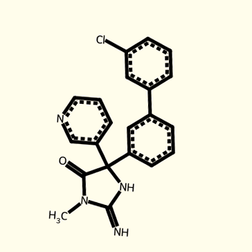 CN1C(=N)NC(c2cccnc2)(c2cccc(-c3cccc(Cl)c3)c2)C1=O